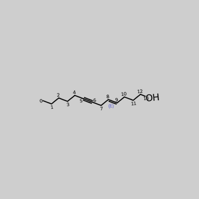 CCCCCC#CC/C=C/CCCO